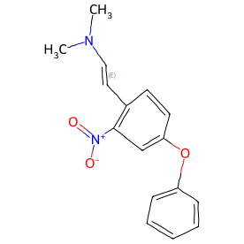 CN(C)/C=C/c1ccc(Oc2ccccc2)cc1[N+](=O)[O-]